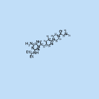 CCC(CC)Nc1nc(N)c2ncc(Cc3cnc(N4CCN(C(=O)CN(C)C)CC4)c(C)c3)n2n1